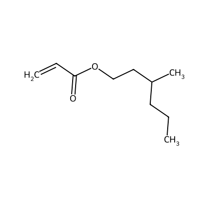 C=CC(=O)OCCC(C)CCC